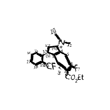 CCOC(=O)c1cc2c(cc1F)[C@@H](N(C)C)C[C@@H]2c1ccccc1C(F)(F)F